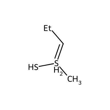 CC/C=[SH2](/C)S